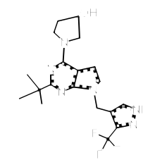 CC(C)(C)c1nc(N2CCC(O)C2)c2ccn(Cc3c[nH]nc3C(F)(F)F)c2n1